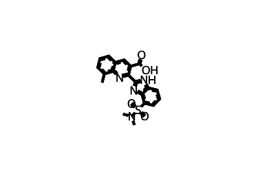 Cc1cccc2cc(C(=O)O)c(-c3nc4c(S(=O)(=O)N(C)C)cccc4[nH]3)nc12